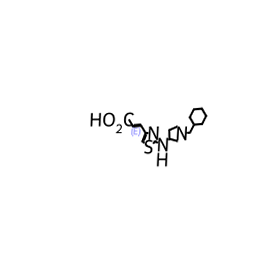 O=C(O)/C=C/c1csc(NC2CCN(CC3CCCCC3)C2)n1